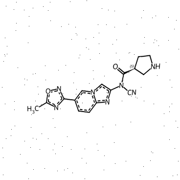 Cc1nc(-c2ccc3nc(N(C#N)C(=O)[C@H]4CCNC4)cn3c2)no1